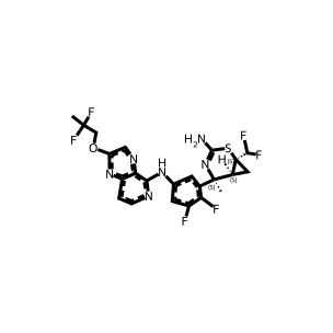 CC(F)(F)COc1cnc2c(Nc3cc(F)c(F)c([C@@]4(C)N=C(N)S[C@@]5(C(F)F)C[C@@H]45)c3)nccc2n1